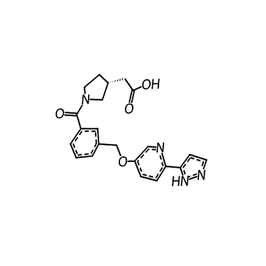 O=C(O)C[C@H]1CCN(C(=O)c2cccc(COc3ccc(-c4ccn[nH]4)nc3)c2)C1